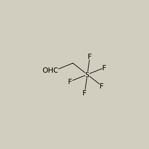 O=CCS(F)(F)(F)(F)F